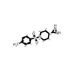 C1NN1.Cc1ccc(S(=O)(=O)N2CCCCC2)cc1